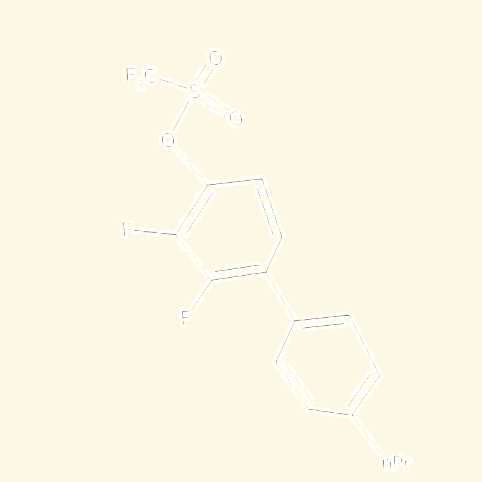 CCCc1ccc(-c2ccc(OS(=O)(=O)C(F)(F)F)c(F)c2F)cc1